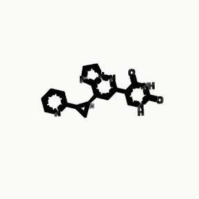 O=c1[nH]cc(-c2cc([C@H]3CC3c3ccccn3)c3nccn3n2)c(=O)[nH]1